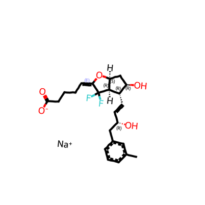 Cc1cccc(C[C@@H](O)C=C[C@@H]2[C@@H]3[C@H](C[C@H]2O)O/C(=C/CCCC(=O)[O-])C3(F)F)c1.[Na+]